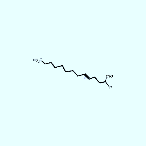 CCC(C=O)CC/C=C/CCCCCCCC(=O)O